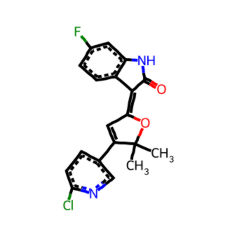 CC1(C)OC(=C2C(=O)Nc3cc(F)ccc32)C=C1c1ccc(Cl)nc1